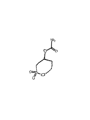 CCCC(=O)OC1CCOS(=O)(=O)C1